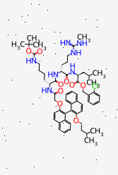 CNC(=N)NCCC[C@@H](NC(=O)[C@@H](CCCCNC(=O)OC(C)(C)C)NC(=O)COc1ccc2ccccc2c1-c1c(OCCC(C)C)ccc2ccccc12)C(=O)N[C@@H](CC(C)C)C(=O)OCc1ccccc1Cl